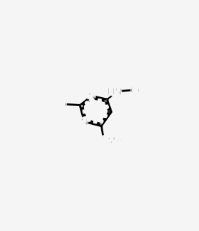 CCNc1cc(SC)nc(Cl)n1